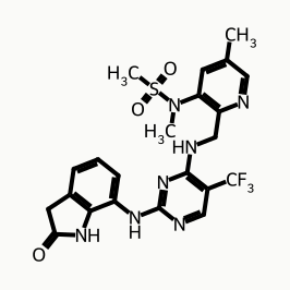 Cc1cnc(CNc2nc(Nc3cccc4c3NC(=O)C4)ncc2C(F)(F)F)c(N(C)S(C)(=O)=O)c1